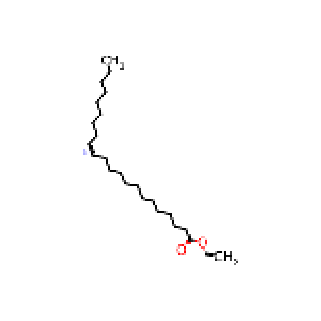 C=COC(=O)CCCCCCCCCCC/C=C\CCCCCCCC